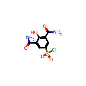 NC(=O)c1cc(S(=O)(=O)Cl)cc(C(N)=O)c1O